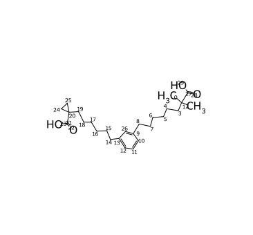 CC(C)(CCCCCCc1cccc(CCCCCCC2(C(=O)O)CC2)c1)C(=O)O